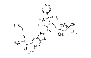 CCCCN(C)C(=O)c1cc2nn(-c3cc(C(C)(C)CC(C)(C)C)cc(C(C)(C)c4ccccc4)c3O)nc2cc1C=O